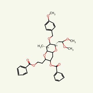 COc1ccc(COC2[C@@H](C)C3OC(CCOC(=O)c4ccccc4)C(OC(=O)c4ccccc4)CC3O[C@H]2CC(OC)OC)cc1